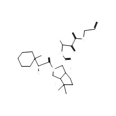 C=CCNC(=O)C(=O)C(CCC)NC(=O)[C@@H]1[C@H]2CCC(C)(C)[C@H]2CN1C(=O)[C@@H](N)C1(C)CCCCC1